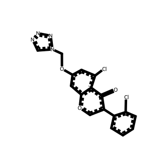 O=c1c(-c2ccccc2Cl)coc2cc(OCn3cnnn3)cc(Cl)c12